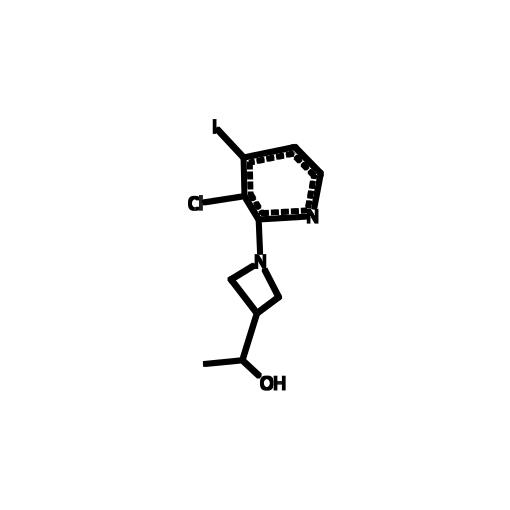 CC(O)C1CN(c2nccc(I)c2Cl)C1